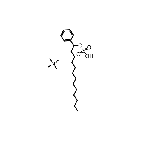 CCCCCCCCCCCCC(OS(=O)(=O)O)c1ccccc1.C[N+](C)(C)C